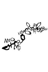 COC(=O)[C@@H](N(C)C(=O)OCc1ccc(NC(=O)CNC(=O)C(NC(=O)OC(C)(C)C)C(C)C)cc1)C(C)(C)c1ccccc1